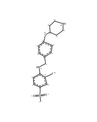 CS(=O)(=O)c1ccc(NCc2ccc(OC3CCNCC3)cc2)c(F)c1